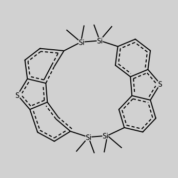 C[Si]1(C)c2ccc3sc4ccc(cc4c3c2)[Si](C)(C)[Si](C)(C)c2ccc3sc4ccc(cc4c3c2)[Si]1(C)C